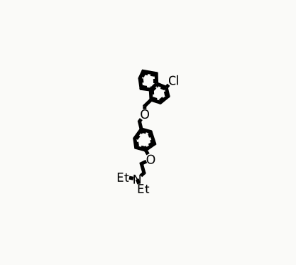 CCN(CC)CCOc1ccc(COCc2ccc(Cl)c3ccccc23)cc1